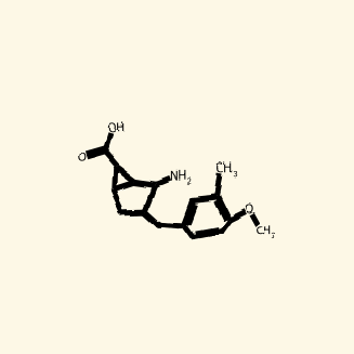 COc1ccc(CC2CC3C(C(=O)O)C3C2N)cc1C